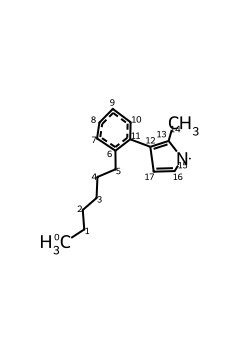 CCCCCCc1ccccc1C1=C(C)[N]C=C1